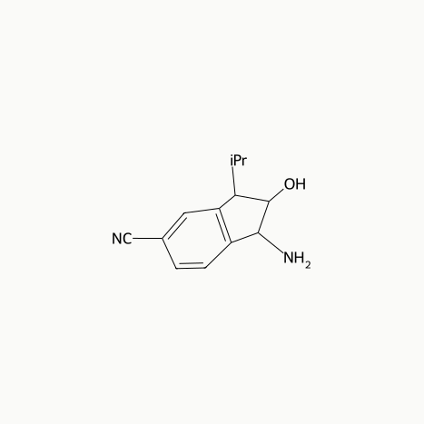 CC(C)C1c2cc(C#N)ccc2C(N)C1O